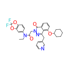 CCN(C(=O)Cn1nc(Cc2cccnc2)c2c(OC3CCCCC3)cccc2c1=O)c1ccc2c(c1)OC(F)(F)O2